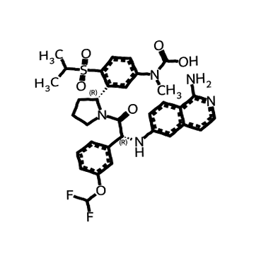 CC(C)S(=O)(=O)c1ccc(N(C)C(=O)O)cc1[C@H]1CCCN1C(=O)[C@H](Nc1ccc2c(N)nccc2c1)c1cccc(OC(F)F)c1